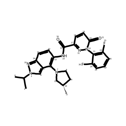 CC(C)n1cc2c(N3CC[C@H](C)C3)c(NC(=O)c3ccc(=O)n(-c4c(F)cccc4F)n3)ccc2n1